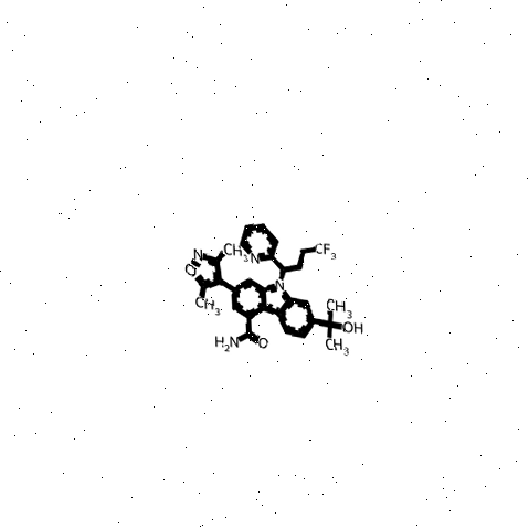 Cc1noc(C)c1-c1cc(C(N)=O)c2c3ccc(C(C)(C)O)cc3n(C(CCC(F)(F)F)c3ccccn3)c2c1